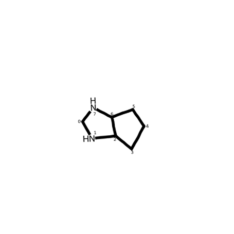 [CH]1NC2CCCC2N1